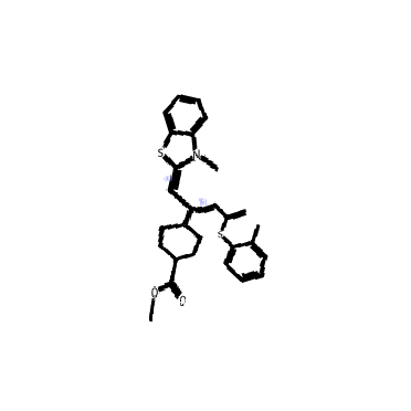 C=C(/C=C(/C=C1/Sc2ccccc2N1C)C1CCC(C(=O)OC)CC1)Sc1ccccc1C